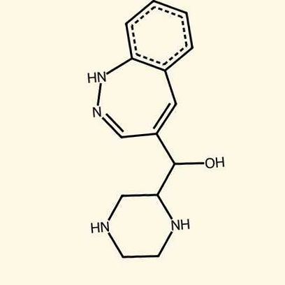 OC(C1=Cc2ccccc2NN=C1)C1CNCCN1